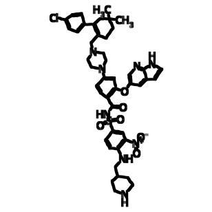 CC1(C)CCC(CN2CCN(c3ccc(C(=O)NS(=O)(=O)c4ccc(NCC5CCNCC5)c([N+](=O)[O-])c4)c(Oc4cnc5[nH]ccc5c4)c3)CC2)=C(c2ccc(Cl)cc2)C1